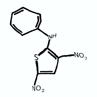 O=[N+]([O-])c1cc([N+](=O)[O-])c(Nc2ccccc2)s1